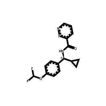 O=C(N[C@H](c1ccc(OC(F)F)cc1)C1CC1)c1cccnn1